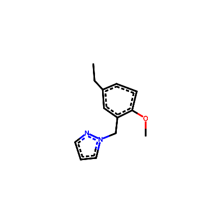 CCc1ccc(OC)c(Cn2cccn2)c1